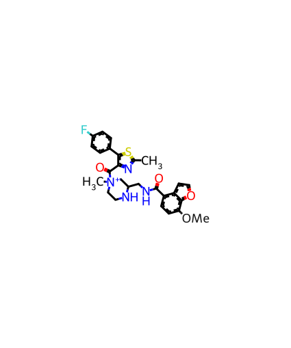 COc1ccc(C(=O)NCC2C[N+](C)(C(=O)c3nc(C)sc3-c3ccc(F)cc3)CCN2)c2ccoc12